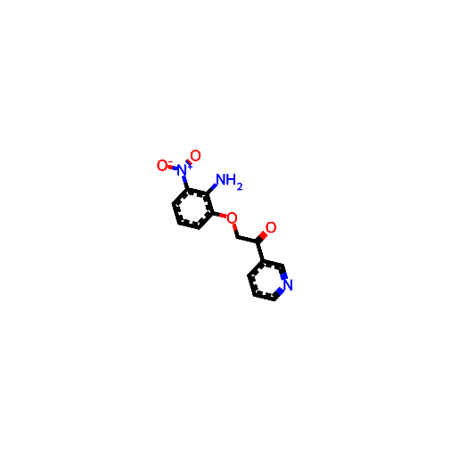 Nc1c(OCC(=O)c2cccnc2)cccc1[N+](=O)[O-]